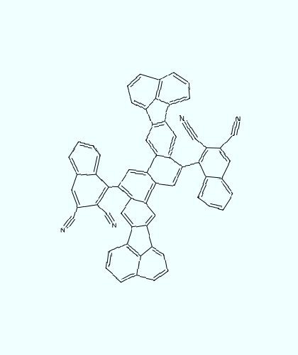 N#Cc1cc2ccccc2c(-c2cc3c4cc5c(cc4c(-c4c(C#N)c(C#N)cc6ccccc46)cc3c3cc4c(cc23)-c2cccc3cccc-4c23)-c2cccc3cccc-5c23)c1C#N